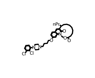 CCCC1CCCCCCCC(=O)OCn2c(=O)c1cc1ccc(OCCCCN3CCN(c4cccc(Cl)c4Cl)CC3)cc12